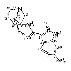 Nc1ccc2c(C(=O)N[C@H]3CN4CCC3CC4)n[nH]c2c1